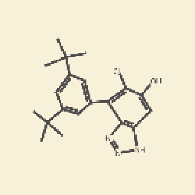 CC(C)(C)c1cc(-c2c(Cl)c(O)cc3[nH]nnc23)cc(C(C)(C)C)c1